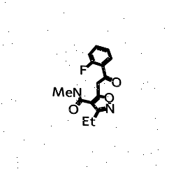 CCc1noc(CC(=O)c2ccccc2F)c1C(=O)NC